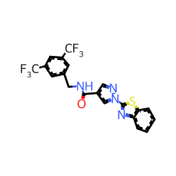 O=C(NCc1cc(C(F)(F)F)cc(C(F)(F)F)c1)c1cnn(-c2nc3ccccc3s2)c1